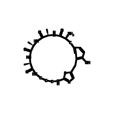 C[C@@H]1NC(=O)[C@H](C)NC(=O)[C@H](C)NC(=O)[C@@H](N)Cc2ccc(O)c(c2)Cc2cnc(s2)NCCCNC1=O